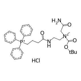 CC(C)(C)OC(=O)[N+](C)(CCNC(=O)CCC[P+](c1ccccc1)(c1ccccc1)c1ccccc1)CC(N)=O.Cl